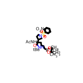 CC(=O)NC(CCCCB1OC(C)(C)C(C)(C)O1)(C(=O)NC(C)(C)C)C1CCN(S(=O)(=O)c2ccccc2[N+](=O)[O-])C1